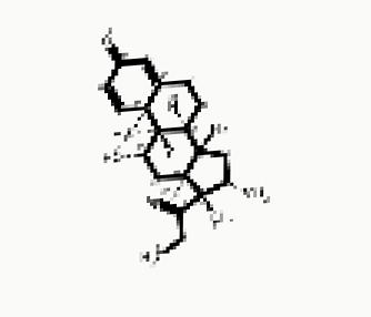 CCC(=O)[C@@]1(C)[C@@H](C)C[C@H]2[C@@H]3CCC4=CC(=O)C=C[C@]4(C)[C@@]3(Cl)[C@@H](O)C[C@@]21C